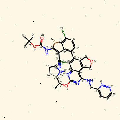 C[C@H](Oc1nc(NCc2cccnn2)c2c3c(c(-c4ccc(F)c5sc(NC(=O)OC(C)(C)C)c(C#N)c45)c(Cl)c2n1)COC3)[C@@H]1CCCN1C